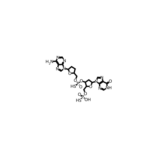 Nc1ncnc2c1ncn2C1CCC(COP(=O)(S)OC2CC(n3cnc4c(=O)[nH]cnc43)OC2COP(=O)(O)S)O1